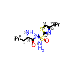 CC(C)C[C@H](N)C(=O)N=S(N)(=O)c1nc(C(C)C)cs1